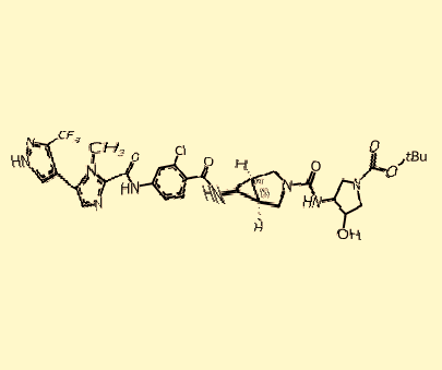 Cn1c(-c2c[nH]nc2C(F)(F)F)cnc1C(=O)Nc1ccc(C(=O)NC2[C@H]3CN(C(=O)NC4CN(C(=O)OC(C)(C)C)CC4O)C[C@@H]23)c(Cl)c1